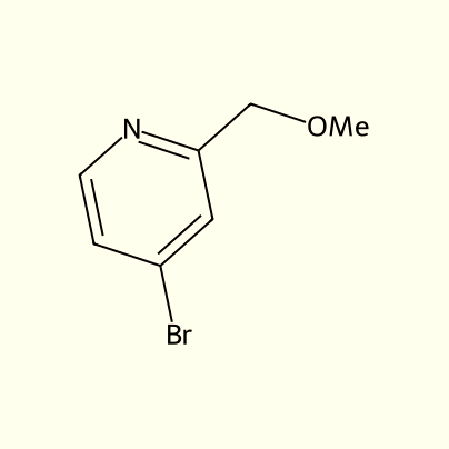 COCc1cc(Br)ccn1